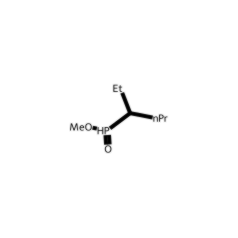 CCCC(CC)[PH](=O)OC